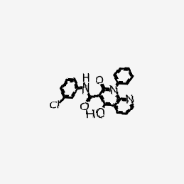 O=C(Nc1cccc(Cl)c1)c1c(O)c2cccnc2n(-c2ccccc2)c1=O